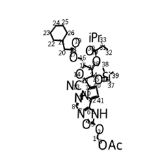 CC(=O)OCOC(=O)Nc1ncnn2c([C@]3(C#N)O[C@H](COC(=O)CC4CCCCC4)[C@@H](OC(=O)[C@@H](C)C(C)C)[C@H]3O[Si](C)(C)C)ccc12